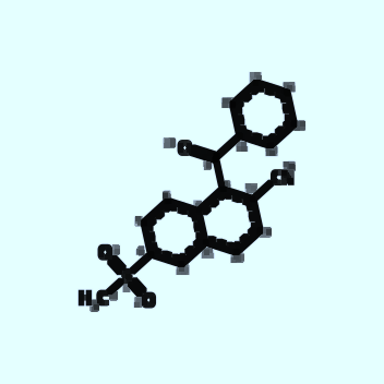 CS(=O)(=O)c1ccc2c(C(=O)c3ccccc3)c(C#N)ccc2c1